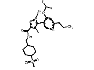 CCn1nc(C(=O)NCC2CCC(S(C)(=O)=O)CC2)c(C)c1-c1cnc(CCC(F)(F)F)cc1OC(F)F